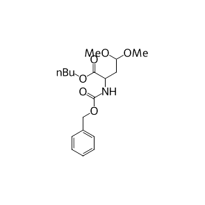 CCCCOC(=O)C(CC(OC)OC)NC(=O)OCc1ccccc1